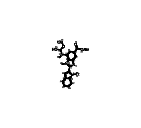 CCn1c(-c2nc3cc(C(=O)OC)cc(N(C)C(O)OC(C)(C)C)c3n2C)cc2ccccc21